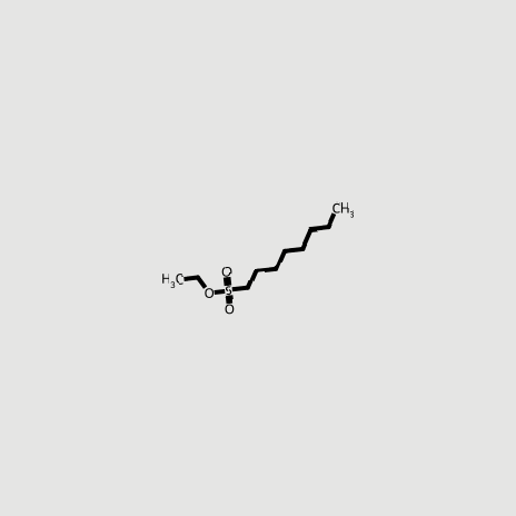 CCCCCCCCS(=O)(=O)OCC